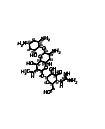 CNC1C(O[C@H]2OC(CO)[C@@H](NC(=N)N)C(O)C2O)O[C@H]2CC(N)[C@@H](O[C@@H]3C(N)C[C@@H](N)C[C@H]3O)OC2C1O